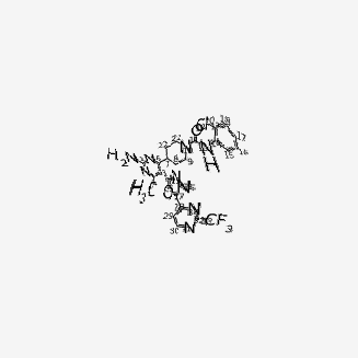 Cc1nc(N)nc(C2CCN(C(=O)Nc3ccccc3Cl)CC2)c1-c1nnc(-c2ccnc(C(F)(F)F)n2)o1